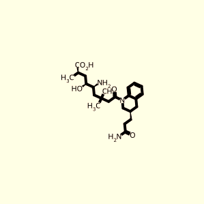 C[C@H](C[C@H](O)[C@@H](N)CC(C)(C)CC(=O)N1C[C@H](CCC(N)=O)Cc2ccccc21)C(=O)O